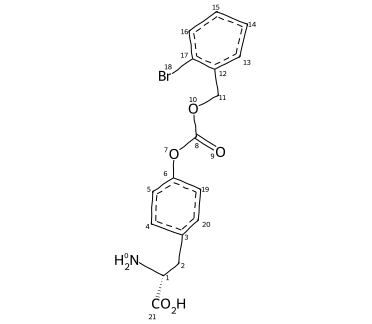 N[C@H](Cc1ccc(OC(=O)OCc2ccccc2Br)cc1)C(=O)O